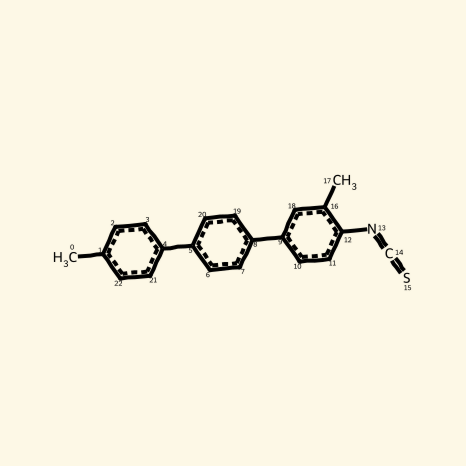 Cc1ccc(-c2ccc(-c3ccc(N=C=S)c(C)c3)cc2)cc1